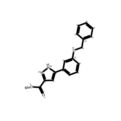 COC(=O)c1cc(-c2cccc(OCc3ccccc3)c2)[nH]n1